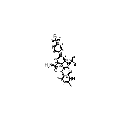 Cc1cc(C)c(Cc2cn(C(C)C)c3cc(-c4ccc(C(F)(F)F)nc4)cc(C(N)=O)c23)c(=O)[nH]1